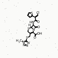 Cn1nnnc1SCC1=C(C(=O)O)N2C(=O)C(NC(=O)/C(=C/Cl)c3cccs3)[C@H]2SC1